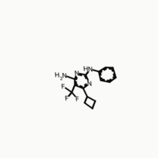 Nc1nc(Nc2ccccc2)nc(C2CCC2)c1C(F)(F)F